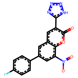 O=c1oc2c([N+](=O)[O-])cc(-c3ccc(F)cc3)cc2cc1-c1nnn[nH]1